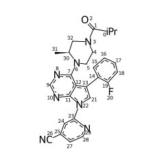 CC(C)C(=O)N1CCN(c2ncnc3c2c(-c2ccccc2F)cn3-c2cc(C#N)ccn2)[C@@H](C)C1